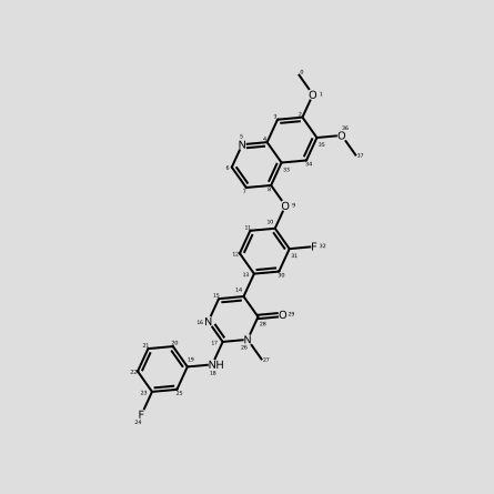 COc1cc2nccc(Oc3ccc(-c4cnc(Nc5cccc(F)c5)n(C)c4=O)cc3F)c2cc1OC